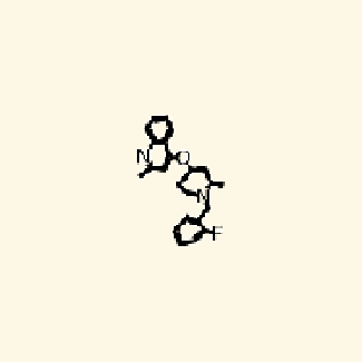 Cc1cc(OC2CCN(Cc3ccccc3F)C(C)C2)c2ccccc2n1